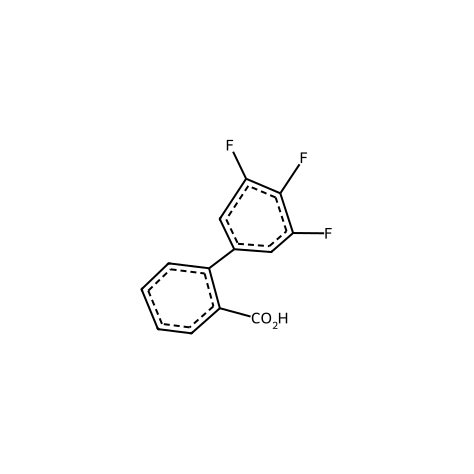 O=C(O)c1ccccc1-c1cc(F)c(F)c(F)c1